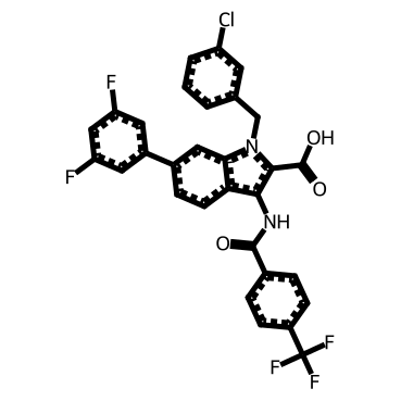 O=C(Nc1c(C(=O)O)n(Cc2cccc(Cl)c2)c2cc(-c3cc(F)cc(F)c3)ccc12)c1ccc(C(F)(F)F)cc1